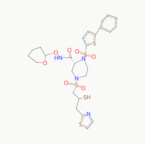 O=C(NOC1CCCCO1)[C@H]1CN(S(=O)(=O)CC(S)Cc2nccs2)CCN1S(=O)(=O)c1ccc(-c2ccccc2)s1